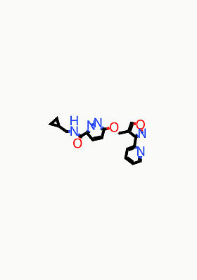 O=C(NCC1CC1)c1ccc(OCc2conc2-c2ccccn2)nn1